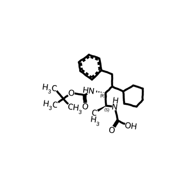 C[C@H](NC(=O)O)[C@H](NC(=O)OC(C)(C)C)C(Cc1ccccc1)C1CCCCC1